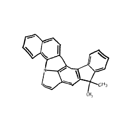 CC1(C)c2ccccc2-c2c1cc1ccn3c4c5ccccc5ccc4c2c13